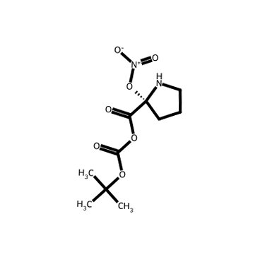 CC(C)(C)OC(=O)OC(=O)[C@]1(O[N+](=O)[O-])CCCN1